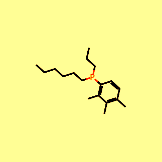 CCCCCCP(CCC)c1ccc(C)c(C)c1C